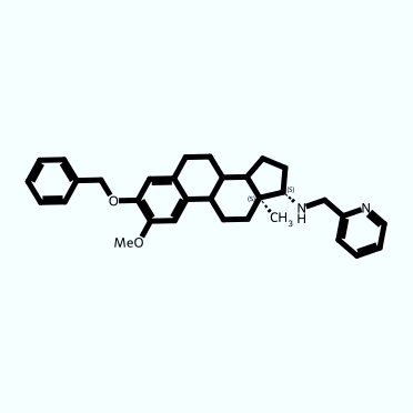 COc1cc2c(cc1OCc1ccccc1)CCC1C2CC[C@@]2(C)C1CC[C@@H]2NCc1ccccn1